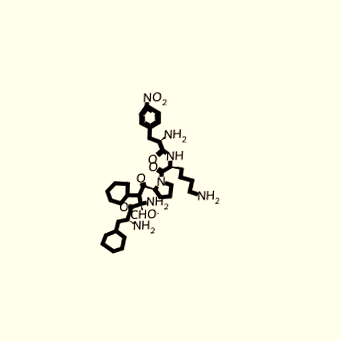 NCCCC[C@H](NC(=O)[C@@H](N)Cc1ccc([N+](=O)[O-])cc1)C(=O)N1CCC[C@H]1C(=O)C(C1CCCCC1)[C@](N)([C]=O)C(=O)[C@H](N)CC1CCCCC1